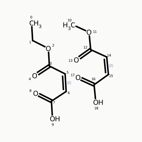 CCOC(=O)/C=C\C(=O)O.COC(=O)/C=C\C(=O)O